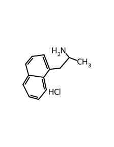 CC(N)Cc1cccc2ccccc12.Cl